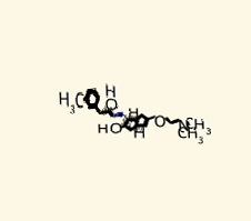 Cc1cccc(C[C@@H](O)/C=C/[C@@H]2[C@H]3CC(COCCCN(C)C)=C[C@H]3C[C@H]2O)c1